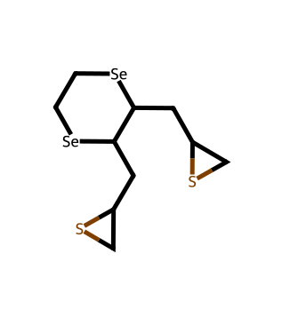 C1C[Se]C(CC2CS2)C(CC2CS2)[Se]1